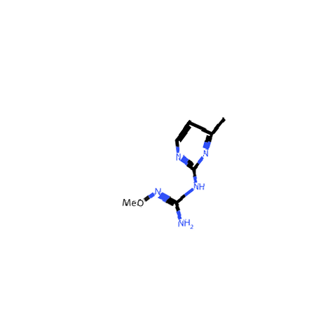 CON=C(N)Nc1nccc(C)n1